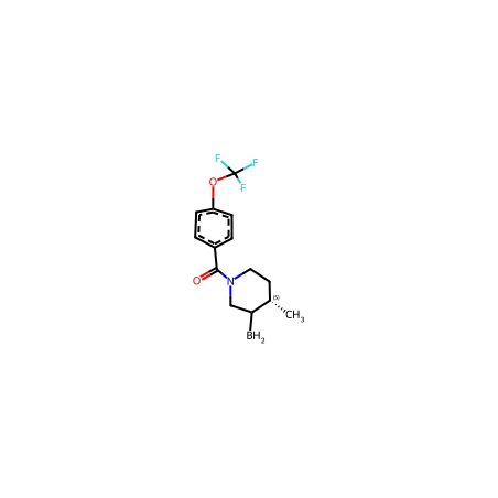 BC1CN(C(=O)c2ccc(OC(F)(F)F)cc2)CC[C@@H]1C